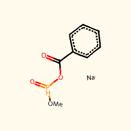 CO[PH](=O)OC(=O)c1ccccc1.[Na]